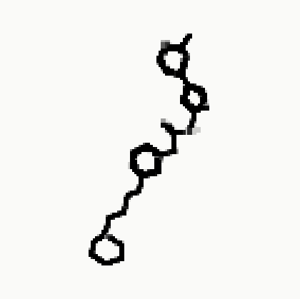 Cc1cc(-c2csc(NC(=O)Cc3cccc(CCCCN4CCCCC4)c3)c2)ccn1